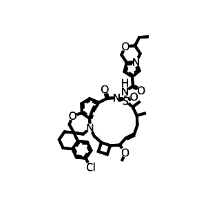 CCC1Cn2cc(C(=O)NS3(=O)=NC(=O)c4ccc5c(c4)N(CC4CCC4C(OC)/C=C/CC(C)C3C)CC3(CCCc4cc(Cl)ccc43)CO5)cc2CO1